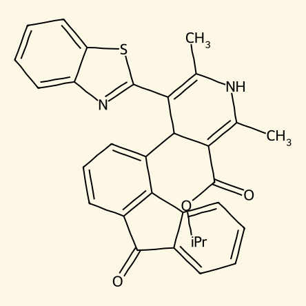 CC1=C(C(=O)OC(C)C)C(c2cccc3c2-c2ccccc2C3=O)C(c2nc3ccccc3s2)=C(C)N1